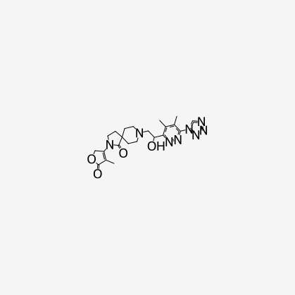 CC1=C(N2CCC3(CCN(CC(O)c4nnc(-n5cnnn5)c(C)c4C)CC3)C2=O)COC1=O